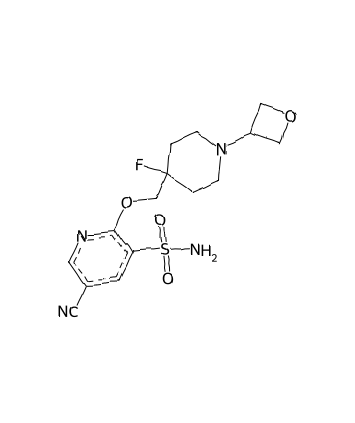 N#Cc1cnc(OCC2(F)CCN(C3COC3)CC2)c(S(N)(=O)=O)c1